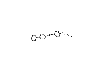 CCCCCc1ccc(C#Cc2ccc(-c3ccccc3)cc2)cc1